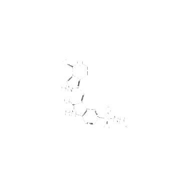 NS(=O)(=O)c1ccc2c(c1)C(=Cc1[nH]cc3c1CCOC3=O)C(=O)N2